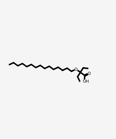 CCCCCCCCCCCCCCCOC(CC)(CC)C(=O)O